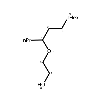 CCCCCCCCC(CCC)OCCO